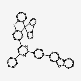 c1ccc(-c2nc(-c3ccc(-c4ccc5c(c4)sc4ccccc45)cc3)nc(-c3ccc4c(c3)C3(c5ccccc5S4)c4ccccc4-c4ccccc43)n2)cc1